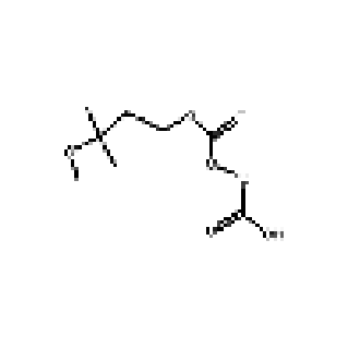 COC(C)(C)CCOC(=O)OOC(=O)O